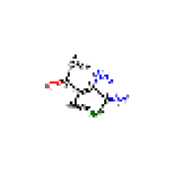 CN/C(C(=O)OC)=C(/N)C(=N)Br